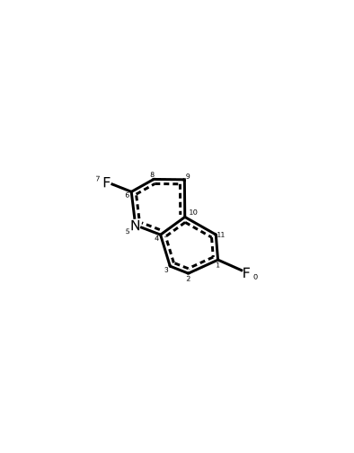 Fc1ccc2nc(F)ccc2c1